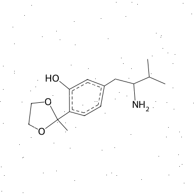 CC(C)C(N)Cc1ccc(C2(C)OCCO2)c(O)c1